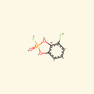 O=P1(F)Oc2cccc(F)c2O1